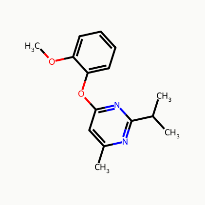 COc1ccccc1Oc1cc(C)nc(C(C)C)n1